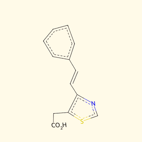 O=C(O)Cc1scnc1/C=C/c1ccccc1